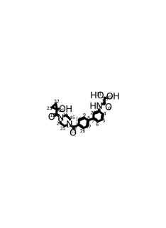 O=C(Nc1cccc(-c2ccc(C(=O)N3CCN(C(=O)C4(O)CC4)CC3)cc2)c1)C(O)O